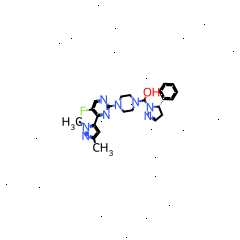 Cc1cc(-c2nc(N3CCN(C(O)N4N=CC[C@H]4c4ccccc4)CC3)ncc2F)n(C)n1